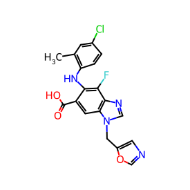 Cc1cc(Cl)ccc1Nc1c(C(=O)O)cc2c(ncn2Cc2cnco2)c1F